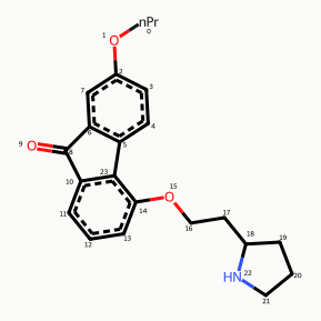 CCCOc1ccc2c(c1)C(=O)c1cccc(OCCC3CCCN3)c1-2